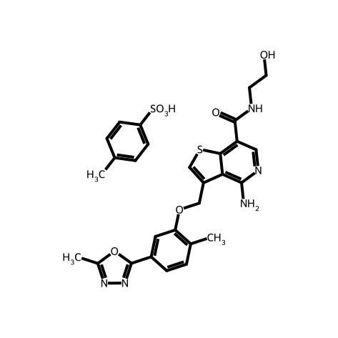 Cc1ccc(S(=O)(=O)O)cc1.Cc1nnc(-c2ccc(C)c(OCc3csc4c(C(=O)NCCO)cnc(N)c34)c2)o1